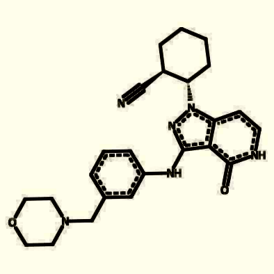 N#C[C@H]1CCCC[C@@H]1n1nc(Nc2cccc(CN3CCOCC3)c2)c2c(=O)[nH]ccc21